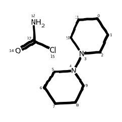 C1CCN(N2CCCCC2)CC1.NC(=O)Cl